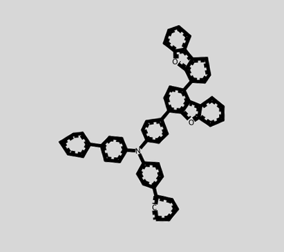 c1ccc(-c2ccc(N(c3ccc(-c4ccccc4)cc3)c3ccc(-c4ccc(-c5cccc6c5oc5ccccc56)c5c4oc4ccccc45)cc3)cc2)cc1